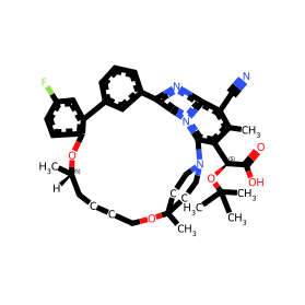 Cc1c([C@H](OC(C)(C)C)C(=O)O)c2n3cc(nc3c1C#N)-c1cccc(c1)-c1cc(F)ccc1O[C@@H](C)CCCCOC1(C)CCN2CC1